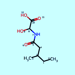 CCC(C)CC(=O)NC(O)C(=O)O